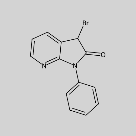 O=C1C(Br)c2cccnc2N1c1ccccc1